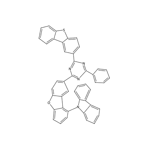 c1ccc(-c2nc(-c3ccc4sc5ccccc5c4c3)nc(-c3ccc4oc5cccc(-n6c7ccccc7c7ccccc76)c5c4c3)n2)cc1